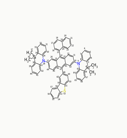 C[Si]1(C)c2ccccc2N(c2ccc3c(-c4cccc5ccccc45)c4cc(N5c6ccccc6[Si](C)(C)c6ccccc65)ccc4c(-c4ccc5sc6ccccc6c5c4)c3c2)c2ccccc21